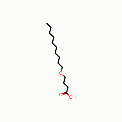 CCCCCCCCCCOCCCC(=O)O